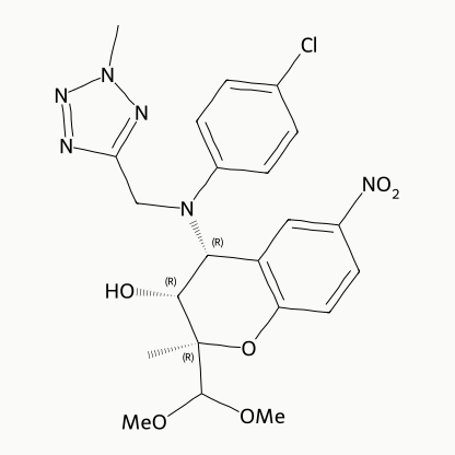 COC(OC)[C@]1(C)Oc2ccc([N+](=O)[O-])cc2[C@@H](N(Cc2nnn(C)n2)c2ccc(Cl)cc2)[C@H]1O